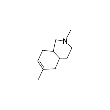 CC1=CCC2CN(C)CCC2C1